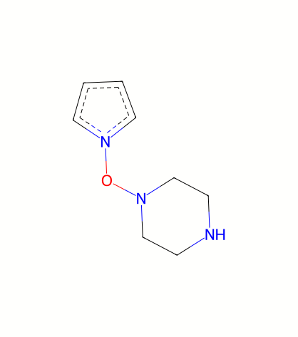 c1ccn(ON2CCNCC2)c1